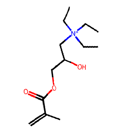 C=C(C)C(=O)OCC(O)C[N+](CC)(CC)CC